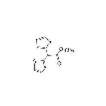 COC(=O)C(c1cccs1)c1cccs1